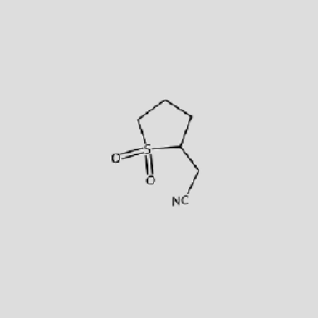 N#CCC1CCCS1(=O)=O